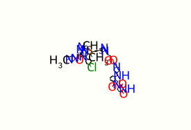 Cc1c(C#Cc2cnn(CCCC(=O)OCCN3CCC(Nc4cccc5c4CN(C4CCC(=O)NC4=O)C5=O)CC3)c2)sc2c1C(c1ccc(Cl)cc1)=N[C@@H](CC(=O)N1CCN(C)CC1)c1nnc(C)n1-2